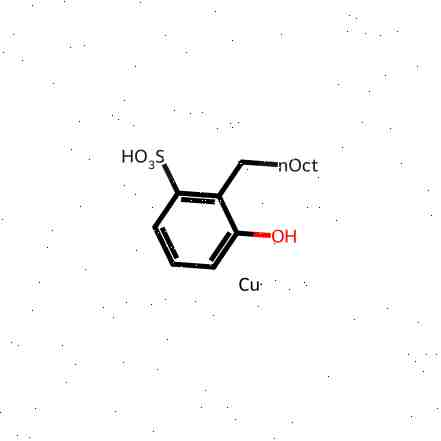 CCCCCCCCCc1c(O)cccc1S(=O)(=O)O.[Cu]